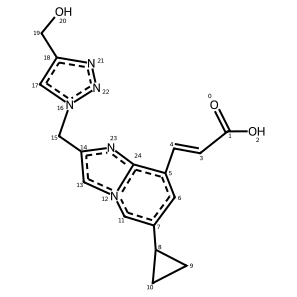 O=C(O)/C=C/c1cc(C2CC2)cn2cc(Cn3cc(CO)nn3)nc12